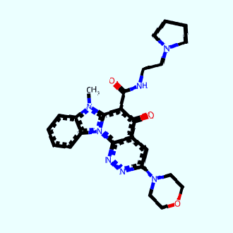 Cn1c2ccccc2n2c3nnc(N4CCOCC4)cc3c(=O)c(C(=O)NCCN3CCCC3)c12